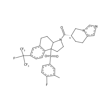 Cc1cc(S(=O)(=O)C23CCN(C(=O)[C@H]4CCc5cncn5C4)C2CCc2cc(C(F)(C(F)(F)F)C(F)(F)F)ccc23)ccc1F